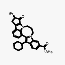 COC(=O)c1ccc2c(C3CCCCC3)c3n(c2c1)CCCn1c2c(c4cccc-3c41)CC(C(C)C)C2=O